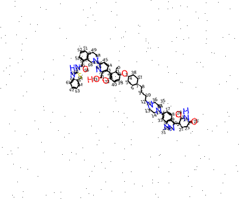 Cc1c(O[C@H]2CC[C@H](CCCCN3CCN(c4ccc5c(C6CCC(=O)NC6=O)nn(C)c5c4)[C@@H](C)C3)CC2)cccc1-c1ccc(N2CCc3cccc(C(=O)Nc4nc5ccccc5s4)c3C2)nc1C(=O)O